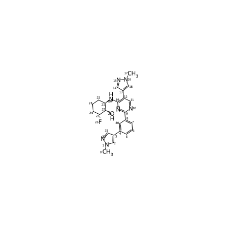 Cn1cc(-c2cccc(-c3ncc(-c4cnn(C)c4)c(N[C@@H]4CCC[C@@H](F)[C@@H]4O)n3)c2)cn1